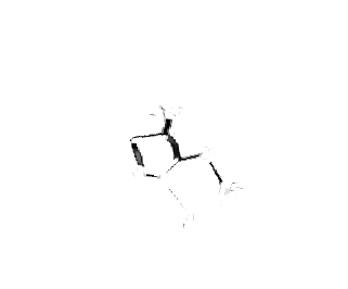 CCCOc1c([N+](=O)[O-])cnn1C(C)C